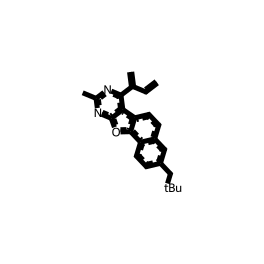 C=CC(=C)c1nc(C)nc2oc3c4ccc(CC(C)(C)C)cc4ccc3c12